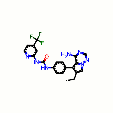 [CH2]Cc1cn2ncnc(N)c2c1-c1ccc(NC(=O)Nc2cc(C(F)(F)F)ccn2)cc1